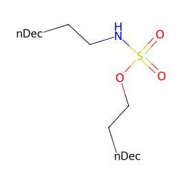 CCCCCCCCCCCCNS(=O)(=O)OCCCCCCCCCCCC